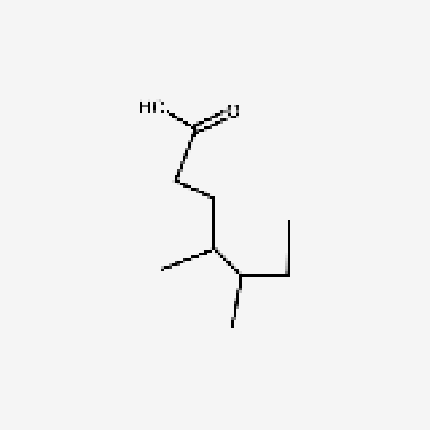 CCC(C)C(C)CCC(=O)O